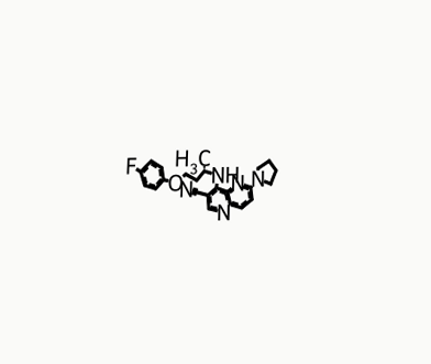 C[C@@H](CCOc1ccc(F)cc1)Nc1c(C#N)cnc2ccc(N3CCCC3)nc12